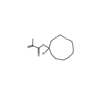 C=C(C)C(=O)OC1(CC)CCCCCCCCCCC1